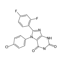 O=C1[N]C(=O)c2c(nc(-c3ccc(F)cc3F)n2-c2ccc(Cl)cc2)N1